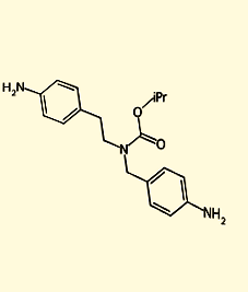 CC(C)OC(=O)N(CCc1ccc(N)cc1)Cc1ccc(N)cc1